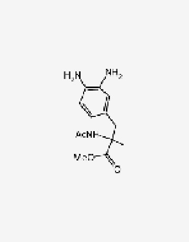 COC(=O)C(C)(Cc1ccc(N)c(N)c1)NC(C)=O